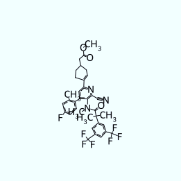 COC(=O)CC1CC=C(c2cc(-c3ccc(F)cc3C)c(N(C)C(=O)C(C)(C)c3cc(C(F)(F)F)cc(C(F)(F)F)c3)c(C#N)n2)CC1